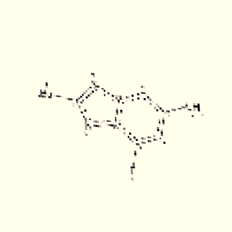 Cc1cc(F)c2nc(C(C)(C)C)sc2c1